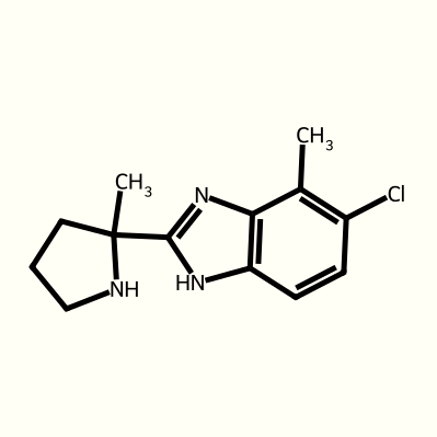 Cc1c(Cl)ccc2[nH]c(C3(C)CCCN3)nc12